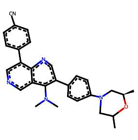 CC1CN(c2ccc(-c3cnc4c(-c5ccc(C#N)cc5)cncc4c3N(C)C)cc2)C[C@@H](C)O1